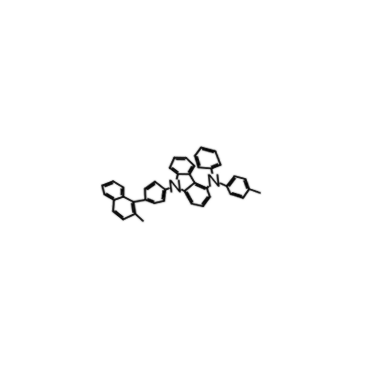 Cc1ccc(N(c2ccccc2)c2cccc3c2c2ccccc2n3-c2ccc(-c3c(C)ccc4ccccc34)cc2)cc1